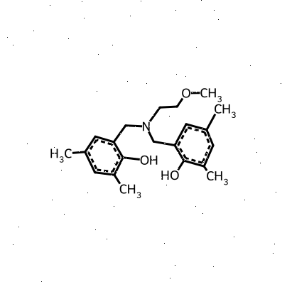 COCCN(Cc1cc(C)cc(C)c1O)Cc1cc(C)cc(C)c1O